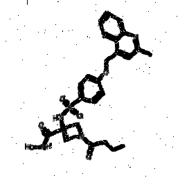 CCCC(=O)N1CC(NS(=O)(=O)c2ccc(OCc3cc(C)nc4ccccc34)cc2)(C(=O)NO)C1